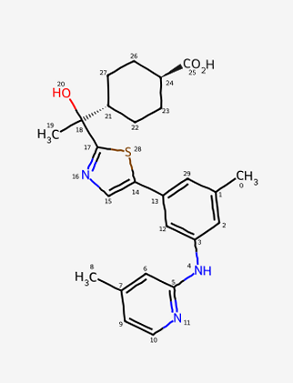 Cc1cc(Nc2cc(C)ccn2)cc(-c2cnc(C(C)(O)[C@H]3CC[C@H](C(=O)O)CC3)s2)c1